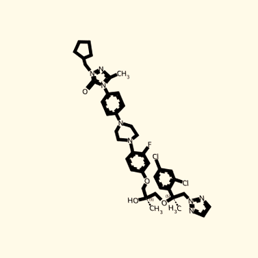 Cc1nn(CC2CCCC2)c(=O)n1-c1ccc(N2CCN(c3ccc(OC[C@](C)(O)CO[C@](C)(Cn4nccn4)c4ccc(Cl)cc4Cl)cc3F)CC2)cc1